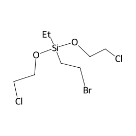 CC[Si](CCBr)(OCCCl)OCCCl